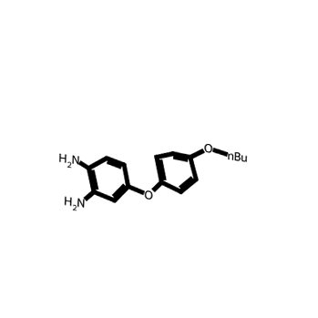 CCCCOc1ccc(Oc2ccc(N)c(N)c2)cc1